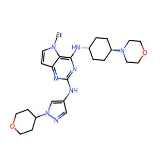 CCn1ccc2nc(Nc3cnn(C4CCOCC4)c3)nc(N[C@H]3CC[C@H](N4CCOCC4)CC3)c21